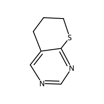 c1ncc2c(n1)SCCC2